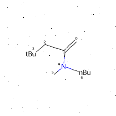 C=C(CC(C)(C)C)N(C)CCCC